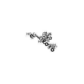 Cc1ccccc1NC(=O)Nc1ccc(CC(=O)N[C@@H](CCCCN(CC(=O)O)Cc2ccccn2)C(=O)N[C@@H](CC(=O)O)C(=O)N[C@H](C(=O)N2CCC[C@H]2C=O)C(C)C)cc1